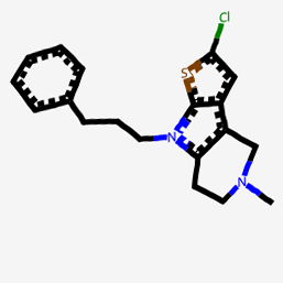 CN1CCc2c(c3cc(Cl)sc3n2CCCc2ccccc2)C1